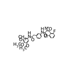 COc1cc(NC(=O)Cc2cccc(NC(=O)c3ncoc3-c3c(F)cccc3Cl)c2)cc(OC)c1OC